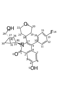 O=c1c2cc(O)ccc2c(-c2ccc(F)cc2)c(C2CCOCC2)n1[C@@H]1C[C@]2(CO)CC12